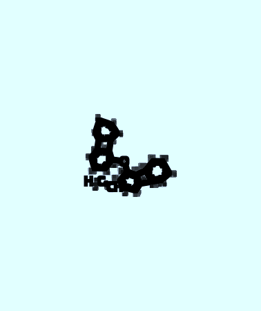 CC.c1ccc2c(c1)-c1cccc(Oc3cccc4c3-c3ccccc3-4)c1-2